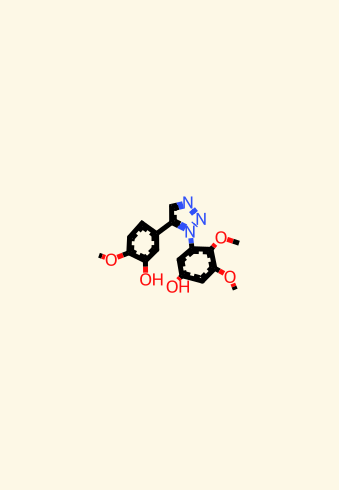 COc1ccc(-c2cnnn2-c2cc(O)cc(OC)c2OC)cc1O